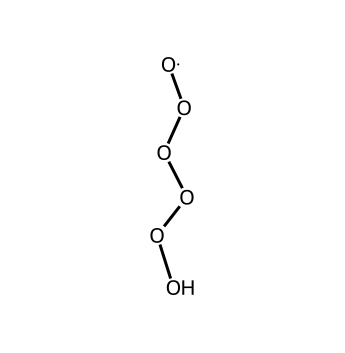 [O]OOOOO